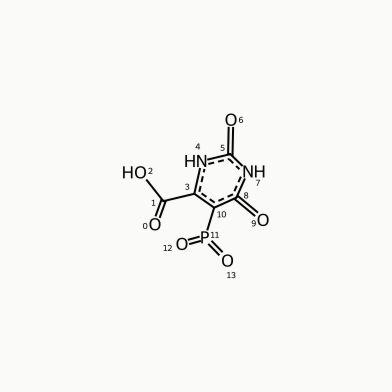 O=C(O)c1[nH]c(=O)[nH]c(=O)c1P(=O)=O